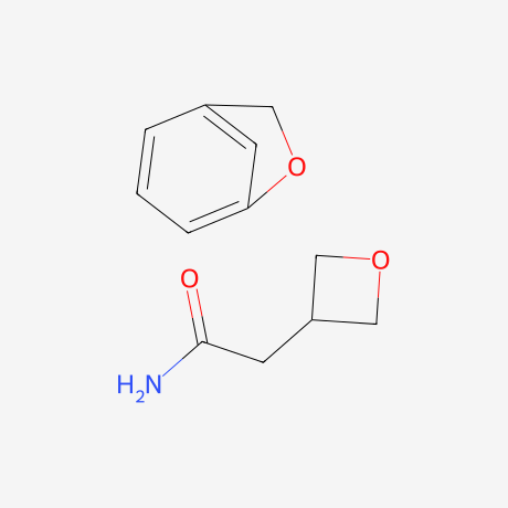 NC(=O)CC1COC1.c1cc2cc(c1)OC2